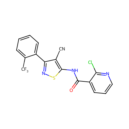 N#Cc1c(-c2ccccc2C(F)(F)F)nsc1NC(=O)c1cccnc1Cl